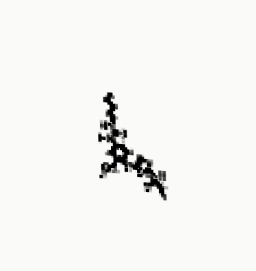 CCCCCNC(=O)Nc1ccc(Oc2cnc(NC(=O)CC)s2)c(COC)c1